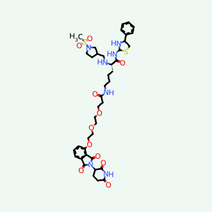 CS(=O)(=O)N1CCC(CN[C@@H](CCCCNC(=O)CCOCCOCCOc2cccc3c2C(=O)N(C2CCC(=O)NC2=O)C3=O)C(=O)NC2NC(c3ccccc3)CS2)C1